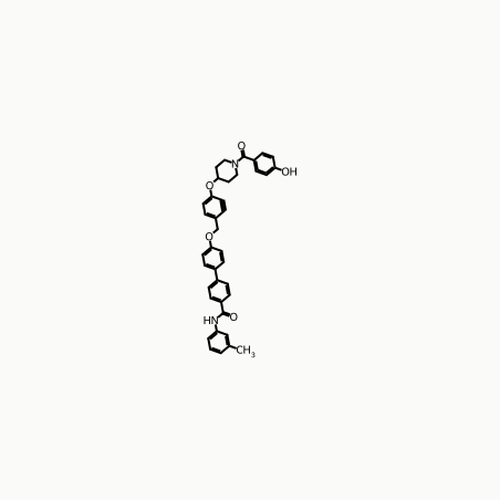 Cc1cccc(NC(=O)c2ccc(-c3ccc(OCc4c#cc(OC5CCN(C(=O)C6=C=C=C(O)C=C6)CC5)cc4)cc3)cc2)c1